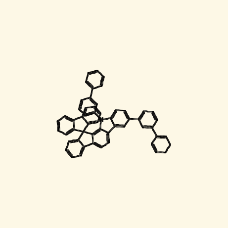 C1=CC(c2cccc(-c3ccc4c(c3)c3ccc5c(c3n4-c3cccc(-c4ccccc4)c3)C3(c4ccccc4-c4ccccc43)c3ccccc3-5)c2)=CCC1